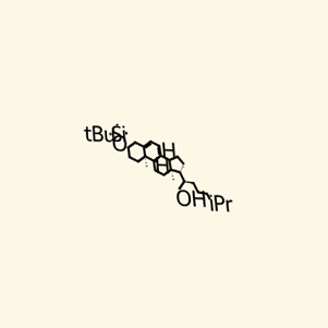 CC(C)CCC[C@@H](CO)[C@H]1CC[C@H]2C3=CC=C4C[C@@H](O[Si](C)(C)C(C)(C)C)CC[C@]4(C)[C@H]3CC[C@]12C